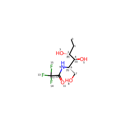 CC[C@@H](O)[C@@H](O)[C@H](CO)NC(=O)C(F)(F)F